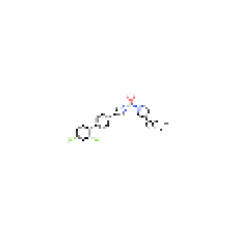 O=C(O)C1CCN(C(=O)N2CC(c3ccc(-c4ccc(F)cc4F)cc3)C2)C1